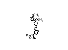 COc1cc([C@]2(OC)CC[C@H](COc3cc([C@@H](CC(=O)O)C4CC4)ccn3)CC2)c(F)cn1